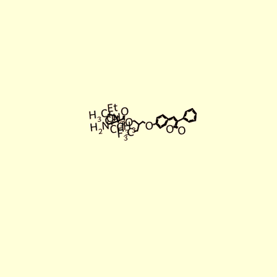 CCC(C)(C)CC(C)(C(=O)OCC(COc1ccc2cc(-c3ccccc3)c(=O)oc2c1)CC(F)(F)F)C(C)(C)N